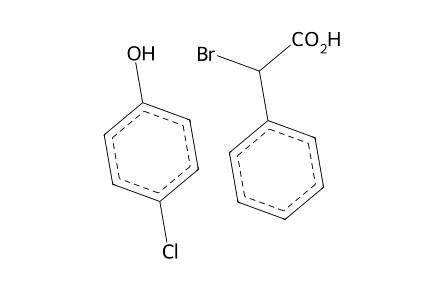 O=C(O)C(Br)c1ccccc1.Oc1ccc(Cl)cc1